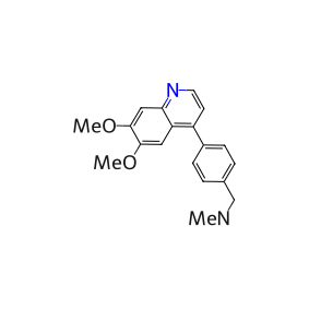 CNCc1ccc(-c2ccnc3cc(OC)c(OC)cc23)cc1